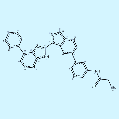 CC(C)(C)CC(=O)Nc1cncc(-c2cnc3[nH]nc(-c4cc5c(-c6ccccn6)ccnc5[nH]4)c3c2)c1